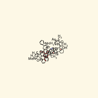 CNC(=O)[C@](C)(CC(C)C)N(C)C(=O)[C@H](Cc1ccccc1)NC(=O)[C@H](Cc1ccccc1)N(C)C(=O)[C@H](Cc1c[nH]c2ccccc12)C(=O)[C@H](CC(C)C)NC(=O)[C@H](C)N(C)C(=O)/C(=N\C(=O)[C@H](NC(=O)[C@@H](NC(=O)[C@H](C)N(C)C(C)=O)C(C)O)C(=O)C1CCCCC1)C(C)C